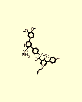 COc1ccc(-c2cnc(N=NN)c(-c3ccc(N(N)C(=O)c4cn(CCF)cc(-c5ccc(F)cc5)c4=O)cc3)c2)cc1OC